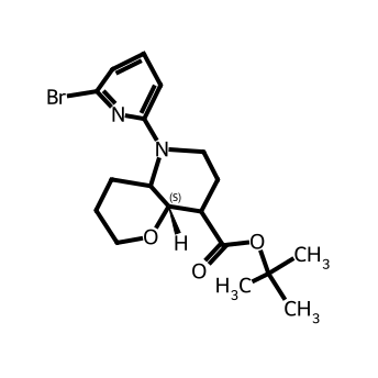 CC(C)(C)OC(=O)C1CCN(c2cccc(Br)n2)C2CCCO[C@@H]12